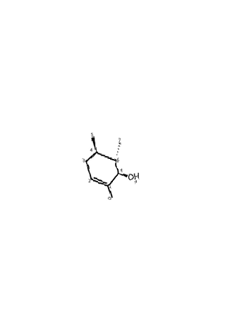 CC1=CC[C@@H](C)[C@H](C)[C@H]1O